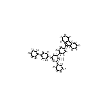 C1=C(c2ccc(-n3c4ccccc4c4ccccc43)cc2)NC(c2ccccc2)N=C1c1ccc(-c2ccccc2)cc1